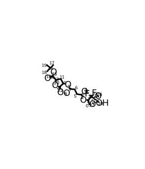 CC(OC(=O)CCC(=O)OC1CC(C(=O)OC(C)(C)C)OC1=O)C(F)(F)S(=O)(=O)O